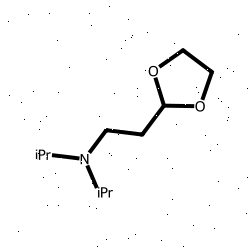 CC(C)N(CCC1OCCO1)C(C)C